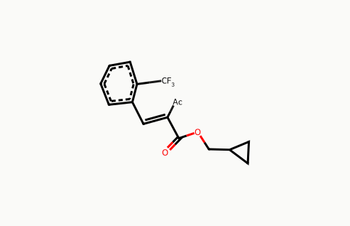 CC(=O)C(=Cc1ccccc1C(F)(F)F)C(=O)OCC1CC1